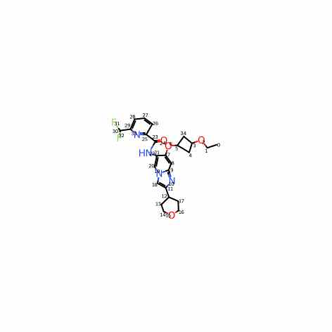 CCOC1CC(Oc2cc3nc(C4CCOCC4)cn3cc2NC(=O)c2cccc(C(F)F)n2)C1